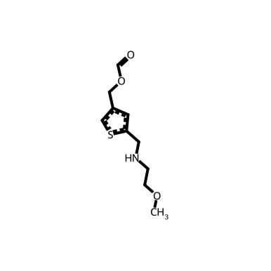 COCCNCc1cc(COC=O)cs1